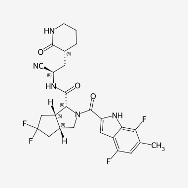 Cc1cc(F)c2cc(C(=O)N3C[C@@H]4CC(F)(F)C[C@@H]4[C@@H]3C(=O)N[C@@H](C#N)C[C@H]3CCCNC3=O)[nH]c2c1F